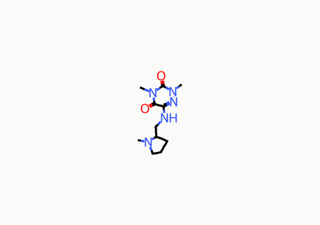 CN1CCCC1CNc1nn(C)c(=O)n(C)c1=O